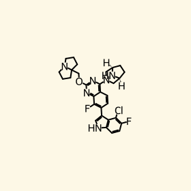 Fc1ccc2[nH]cc(-c3ccc4c(N5C[C@H]6CC[C@@H](C5)N6)nc(OCC56CCCN5CCC6)nc4c3F)c2c1Cl